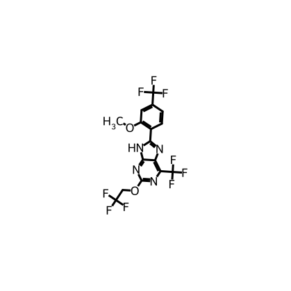 COc1cc(C(F)(F)F)ccc1-c1nc2c(C(F)(F)F)nc(OCC(F)(F)F)nc2[nH]1